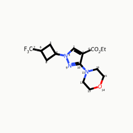 CCOC(=O)c1cn(C2CC(C(F)(F)F)C2)nc1N1CCOCC1